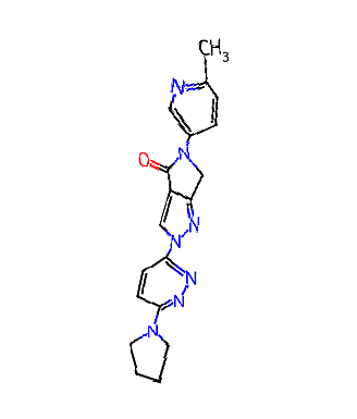 Cc1ccc(N2Cc3nn(-c4ccc(N5CCCC5)nn4)cc3C2=O)cn1